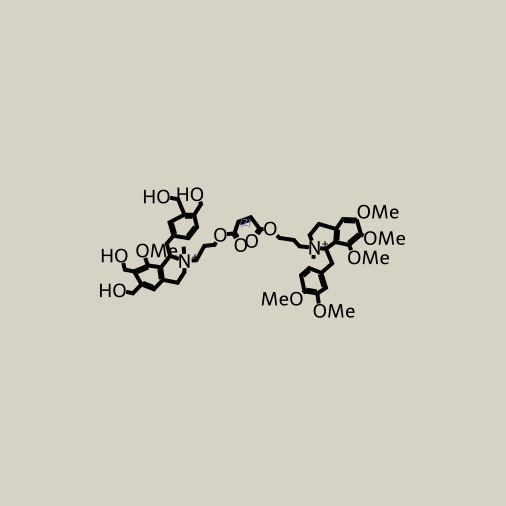 COc1ccc(CC2c3c(cc(OC)c(OC)c3OC)CC[N+]2(C)CCCOC(=O)/C=C\C(=O)OCCC[N+]2(C)CCc3cc(CO)c(CO)c(OC)c3C2Cc2ccc(CO)c(CO)c2)cc1OC